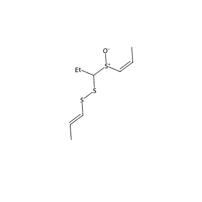 C/C=C\[S+]([O-])C(CC)SS/C=C/C